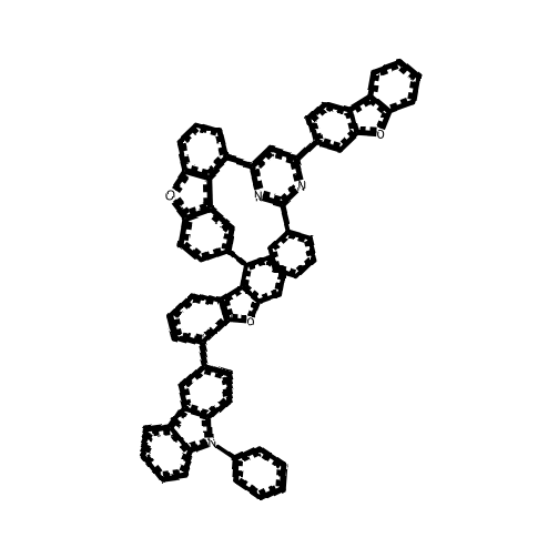 c1ccc(-c2nc(-c3ccc4c(c3)oc3ccccc34)cc(-c3cccc4oc5ccc(-c6cccc7oc8c(-c9ccc%10c(c9)c9ccccc9n%10-c9ccccc9)cccc8c67)cc5c34)n2)cc1